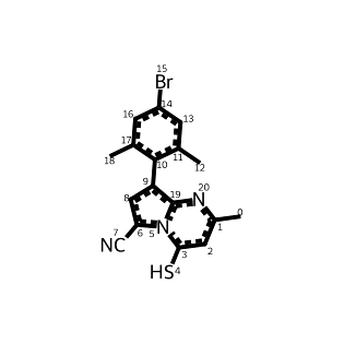 Cc1cc(S)n2c(C#N)cc(-c3c(C)cc(Br)cc3C)c2n1